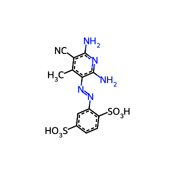 Cc1c(C#N)c(N)nc(N)c1/N=N/c1cc(S(=O)(=O)O)ccc1S(=O)(=O)O